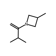 C=C(C(C)C)N1CC(C)C1